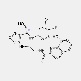 O=C(NCCNc1nonc1/C(=N\O)Nc1ccc(F)c(Br)c1)c1ccc2c(c1)B(O)OC=C2